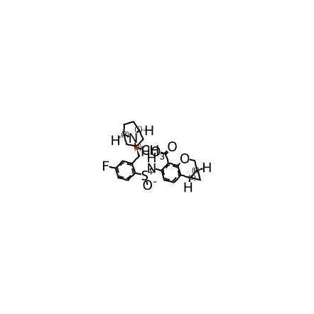 CCN1[C@@H]2CC[C@H]1C[C@@H](Cc1cc(F)ccc1[S+]([O-])Nc1ccc3c(c1C(=O)O)OC[C@@H]1C[C@H]31)C2